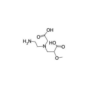 COC(CN(CCN)CC(=O)O)C(=O)O